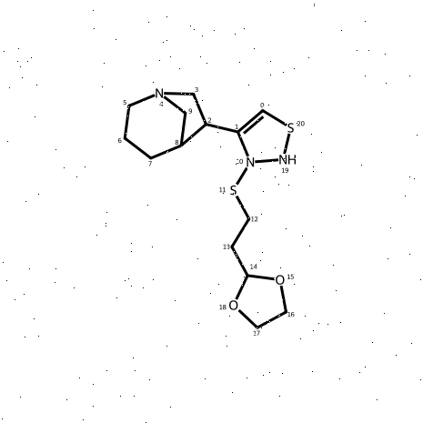 C1=C(C2CN3CCCC2C3)N(SCCC2OCCO2)NS1